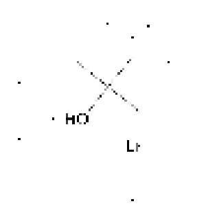 CC(C)(C)O.[Li]